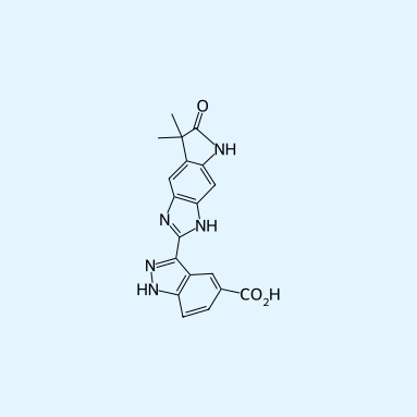 CC1(C)C(=O)Nc2cc3[nH]c(-c4n[nH]c5ccc(C(=O)O)cc45)nc3cc21